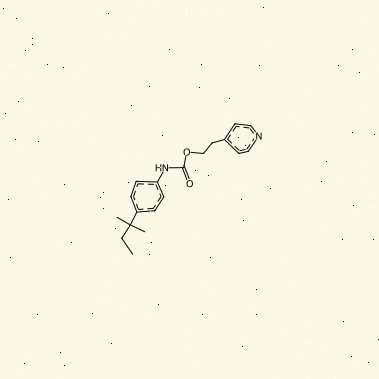 CCC(C)(C)c1ccc(NC(=O)OCCc2ccncc2)cc1